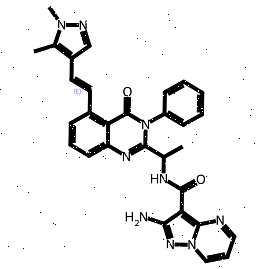 Cc1c(/C=C/c2cccc3nc(C(C)NC(=O)c4c(N)nn5cccnc45)n(-c4ccccc4)c(=O)c23)cnn1C